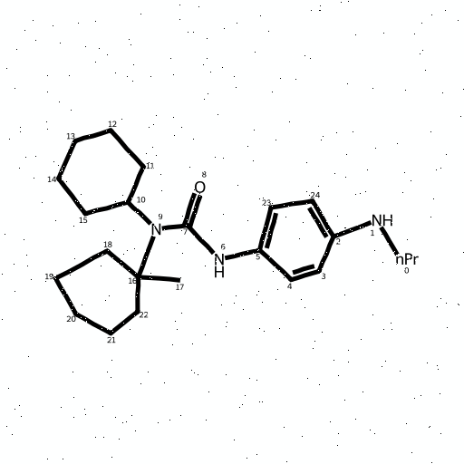 CCCNc1ccc(NC(=O)N(C2CCCCC2)C2(C)CCCCC2)cc1